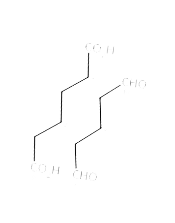 O=C(O)CCCCC(=O)O.O=CCCCC=O